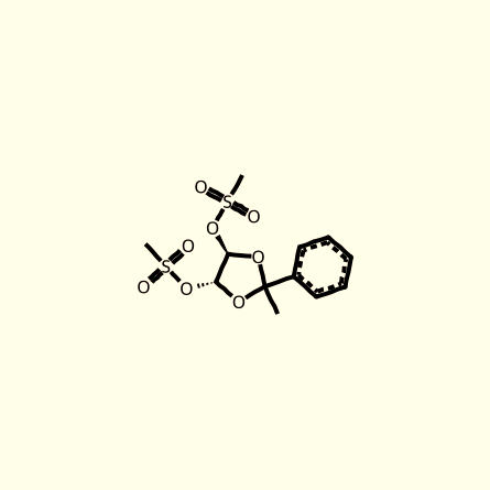 CC1(c2ccccc2)O[C@H](OS(C)(=O)=O)[C@@H](OS(C)(=O)=O)O1